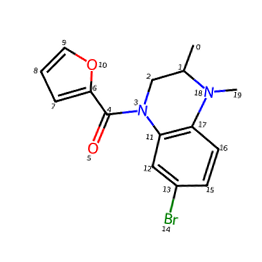 CC1CN(C(=O)c2ccco2)c2cc(Br)ccc2N1C